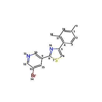 Cc1ccc(-c2csc(-c3cncc(Br)c3)n2)c(C)c1